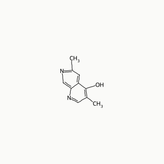 Cc1cc2c(O)c(C)cnc2cn1